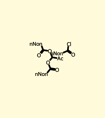 CCCCCCCCCC(=O)Cl.CCCCCCCCCC(=O)OC(OC(=O)CCCCCCCCC)C(C)=O